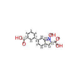 O=C(O)c1cccc(-c2ccc3cc(C(=O)O)n(O)c3c2)c1